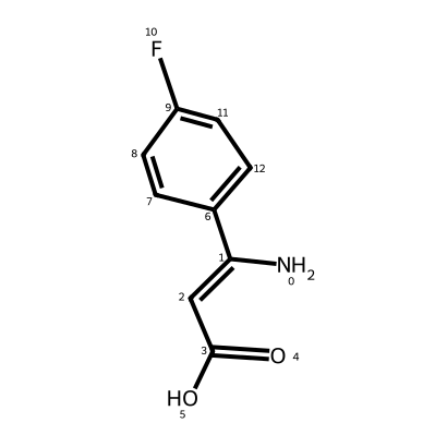 NC(=CC(=O)O)c1ccc(F)cc1